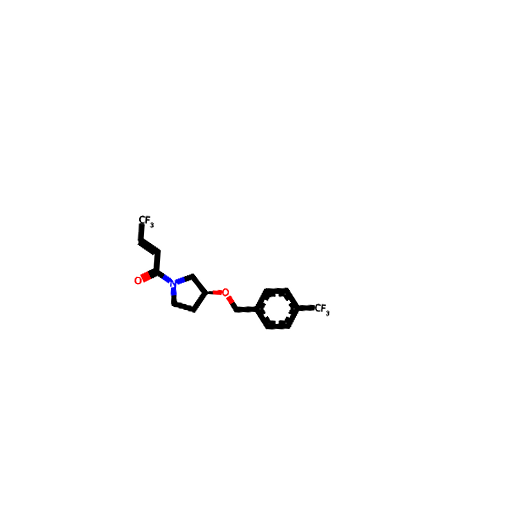 O=C(/C=C/C(F)(F)F)N1CC[C@H](OCc2ccc(C(F)(F)F)cc2)C1